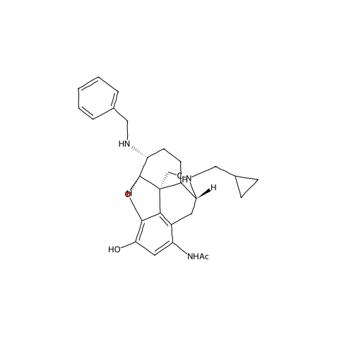 CC(=O)Nc1cc(O)c2c3c1C[C@@H]1[C@@H]4CC[C@@H](NCc5ccccc5)[C@H](O2)[C@]34CCN1CC1CC1